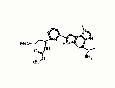 BN(C)c1nc2[nH]c(-c3cccc([C@H](CCOC)NC(=O)OC(C)(C)C)n3)cc2c2c1ncn2C